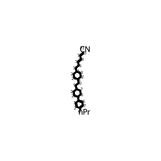 CCCc1ccc(C2CCC(CCC3CCC(CCC=CC=CC#N)CC3)CC2)cc1